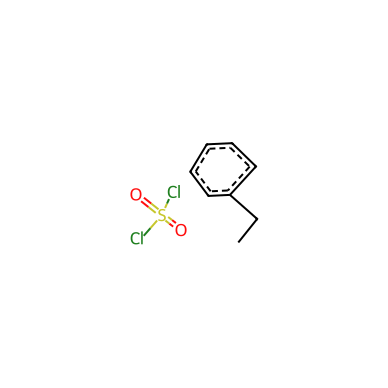 CCc1ccccc1.O=S(=O)(Cl)Cl